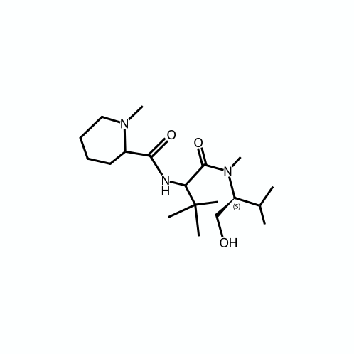 CC(C)[C@@H](CO)N(C)C(=O)C(NC(=O)C1CCCCN1C)C(C)(C)C